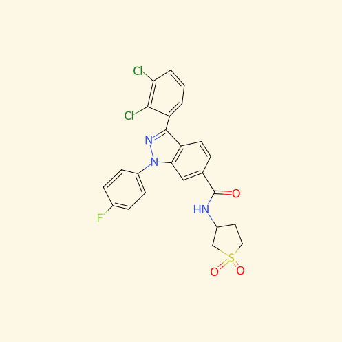 O=C(NC1CCS(=O)(=O)C1)c1ccc2c(-c3cccc(Cl)c3Cl)nn(-c3ccc(F)cc3)c2c1